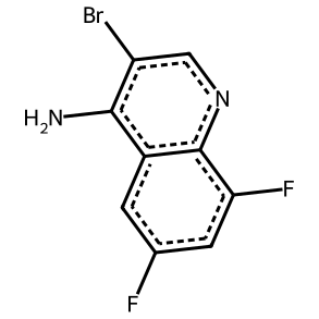 Nc1c(Br)cnc2c(F)cc(F)cc12